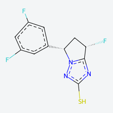 Fc1cc(F)cc([C@@H]2C[C@H](F)c3nc(S)nn32)c1